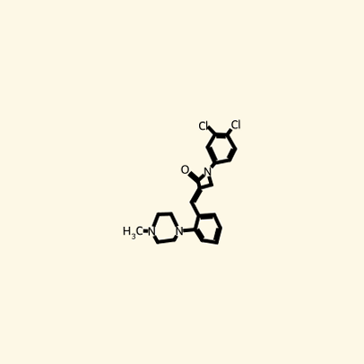 CN1CCN(c2ccccc2/C=C2\CN(c3ccc(Cl)c(Cl)c3)C2=O)CC1